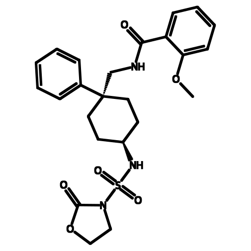 COc1ccccc1C(=O)NC[C@]1(c2ccccc2)CC[C@@H](NS(=O)(=O)N2CCOC2=O)CC1